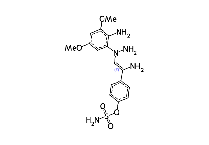 COc1cc(OC)c(N)c(N(N)/C=C(\N)c2ccc(OS(N)(=O)=O)cc2)c1